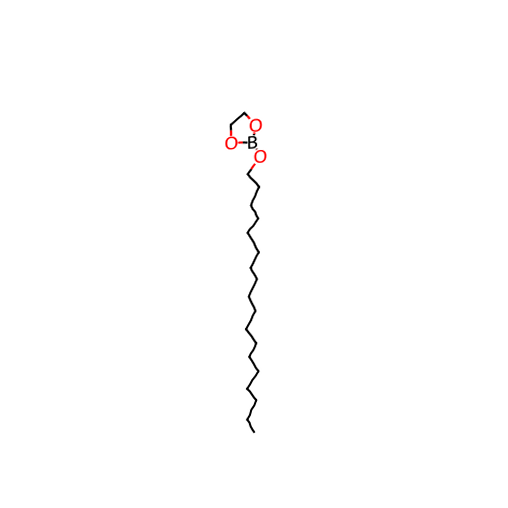 CCCCCCCCCCCCCCCCCCOB1OCCO1